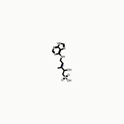 C/C(=C\CNc1ncnc2[nH]cnc12)C(O)CS(=O)(=O)O